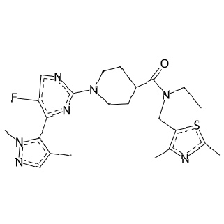 CCN(Cc1sc(C)nc1C)C(=O)C1CCN(c2ncc(F)c(-c3c(C)cnn3C)n2)CC1